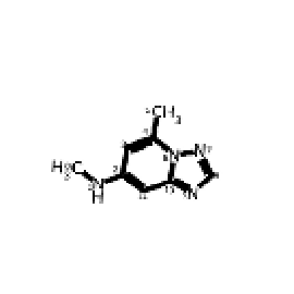 CNc1cc(C)n2ncnc2c1